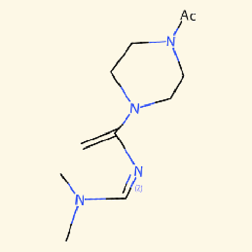 C=C(/N=C\N(C)C)N1CCN(C(C)=O)CC1